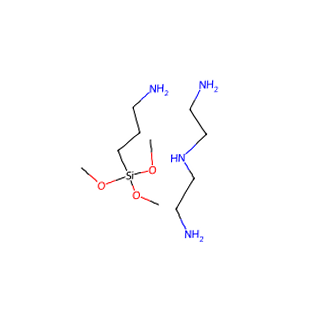 CO[Si](CCCN)(OC)OC.NCCNCCN